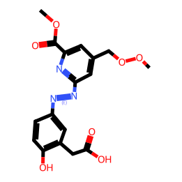 COOCc1cc(/N=N/c2ccc(O)c(CC(=O)O)c2)nc(C(=O)OC)c1